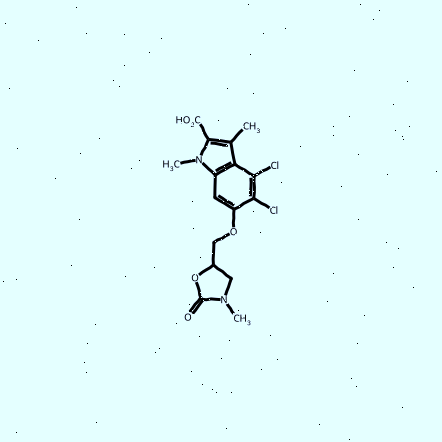 Cc1c(C(=O)O)n(C)c2cc(OCC3CN(C)C(=O)O3)c(Cl)c(Cl)c12